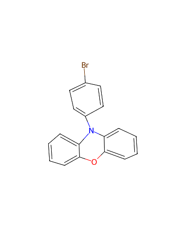 Brc1ccc(N2c3ccccc3Oc3ccccc32)cc1